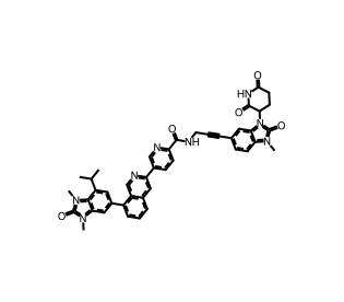 CC(C)c1cc(-c2cccc3cc(-c4ccc(C(=O)NCC#Cc5ccc6c(c5)n(C5CCC(=O)NC5=O)c(=O)n6C)nc4)ncc23)cc2c1n(C)c(=O)n2C